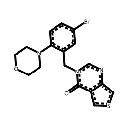 O=c1c2cscc2ncn1Cc1cc(Br)ccc1N1CCOCC1